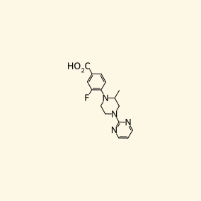 CC1CN(c2ncccn2)CCN1c1ccc(C(=O)O)cc1F